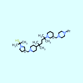 CC(C)N1CCN(C[C@@H]2CCCN(C(C)(C)CCC(C)(C)C3CCN(C[C@H]4CCN(C(C)(C)S)C4)CC3)C2)CC1